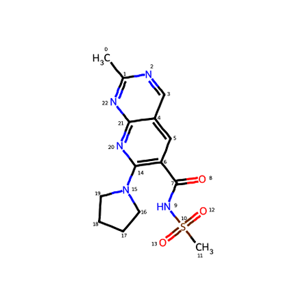 Cc1ncc2cc(C(=O)NS(C)(=O)=O)c(N3CCCC3)nc2n1